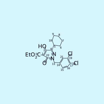 CCOC(=O)c1c(O)c(C2CCCCC2)nn(Cc2ccc(Cl)c(Cl)c2)c1=O